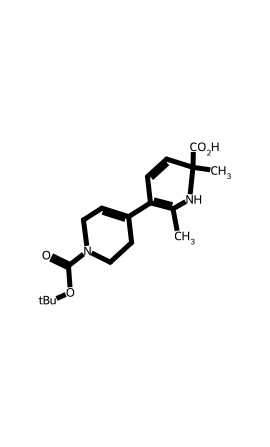 CC1=C(C2=CCN(C(=O)OC(C)(C)C)CC2)C=CC(C)(C(=O)O)N1